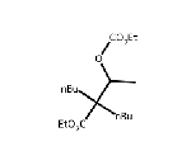 CCCCC(CCCC)(C(=O)OCC)C(C)OC(=O)OCC